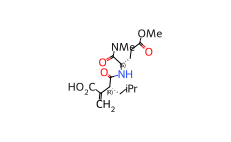 C=C(C(=O)O)[C@@H](CC(C)C)C(=O)N[C@@H](CCC(=O)OC)C(=O)NC